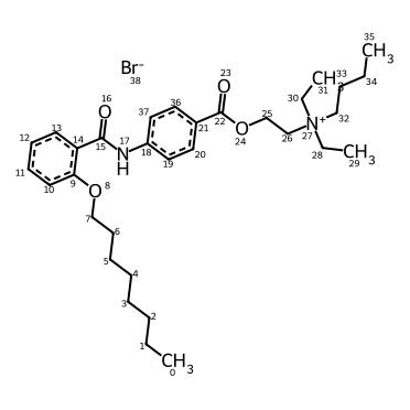 CCCCCCCCOc1ccccc1C(=O)Nc1ccc(C(=O)OCC[N+](CC)(CC)CCCC)cc1.[Br-]